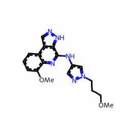 COCCCn1cc(Nc2nc3c(OC)cccc3c3cn[nH]c23)cn1